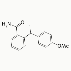 COc1ccc(C(C)c2ccccc2C(N)=O)cc1